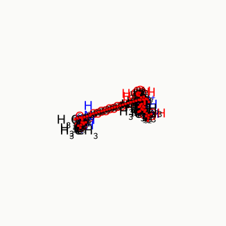 CCCNC(=O)[C@H](CCCCNC(=O)CCOCCOCCOCCOCCOCCOCCOCCOCCOCCOCCOCCOC(=O)Nc1cc(C[N+]2(C)CCCC[C@@H]2C(=O)N[C@H](C(=O)N(C)[C@H](C[C@@H](OC(=O)C(C)C)c2nc(C(=O)N[C@@H](Cc3ccccc3)C[C@H](C)C(=O)O)cs2)C(C)C)[C@@H](C)CC)ccc1O[C@@H]1O[C@H](C(=O)O)[C@@H](O)[C@H](O)[C@H]1O)NC(=O)[C@H](CNC(=O)OC(C)(C)C)N1C(=O)C=CC1=O